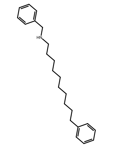 c1ccc(CCCCCCCCCCNCc2ccccc2)cc1